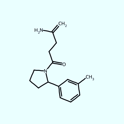 C=C(N)CCC(=O)N1CCCC1c1cccc(C)c1